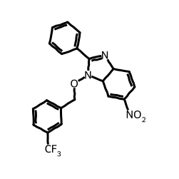 O=[N+]([O-])C1=CC2C(C=C1)N=C(c1ccccc1)N2OCc1cccc(C(F)(F)F)c1